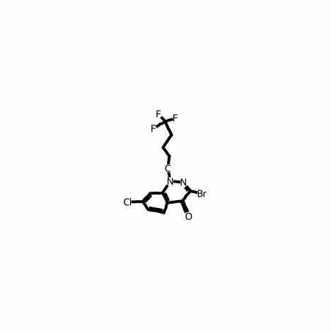 O=c1c(Br)nn(CCCCC(F)(F)F)c2cc(Cl)ccc12